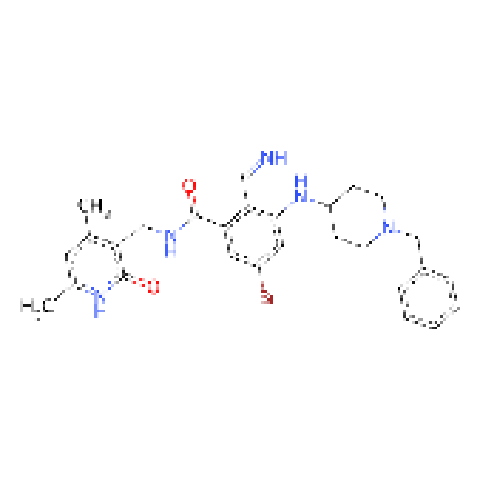 Cc1cc(C)c(CNC(=O)c2cc(Br)cc(NC3CCN(Cc4ccccc4)CC3)c2C=N)c(=O)[nH]1